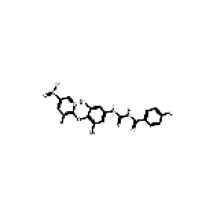 Cc1cc([N+](=O)[O-])cnc1Oc1c(Br)cc(NC(=S)NC(=O)c2ccc(Cl)cc2)cc1Br